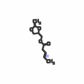 C=C1OCC(COC(=O)C/C=C/C)O1